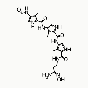 Cc1c(NC=O)c[nH]c1C(=O)Nc1c[nH]c(C(=O)Nc2c[nH]c(C(=O)NCCC(N)=NO)c2C)c1C